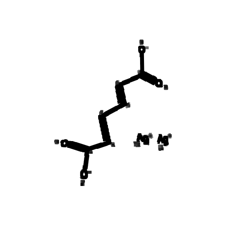 O=C([O-])C=CC=CC(=O)[O-].[Ag+].[Ag+]